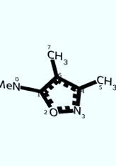 CNc1onc(C)c1C